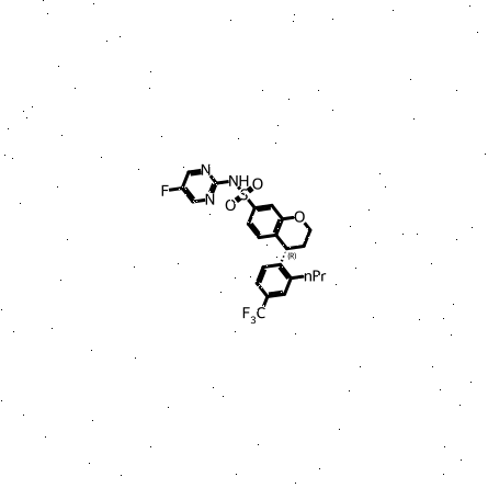 CCCc1cc(C(F)(F)F)ccc1[C@H]1CCOc2cc(S(=O)(=O)Nc3ncc(F)cn3)ccc21